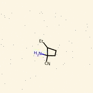 CCC1CCC1(N)C#N